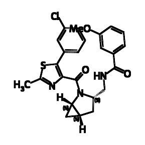 COc1cccc(C(=O)NC[C@@H]2C[C@@H]3C[C@@H]3N2C(=O)c2nc(C)sc2-c2cccc(Cl)c2)c1